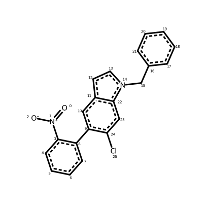 O=[N+]([O-])c1ccccc1-c1cc2ccn(Cc3ccccc3)c2cc1Cl